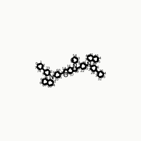 c1ccc(-c2ccc(N(c3ccc(-c4cc5cc6c(cc(-c7ccc(N(c8ccc(-c9ccccc9)cc8)c8cccc9ccccc89)cc7)n6-c6ccccc6)cc5o4)cc3)c3cccc4ccccc34)cc2)cc1